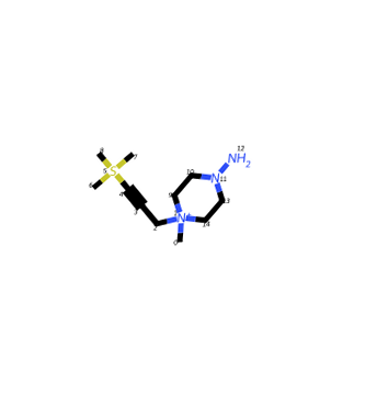 C[N+]1(CC#CS(C)(C)C)CCN(N)CC1